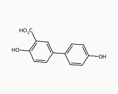 O=C(O)c1cc(-c2ccc(O)cc2)ccc1O